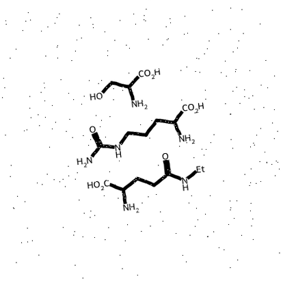 CCNC(=O)CCC(N)C(=O)O.NC(=O)NCCCC(N)C(=O)O.NC(CO)C(=O)O